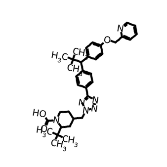 CC(C)(C)C(c1ccc(OCc2ccccn2)cc1)c1ccc(-c2nnn(CC3CCN(C(=O)O)C(C(C)(C)C)C3)n2)cc1